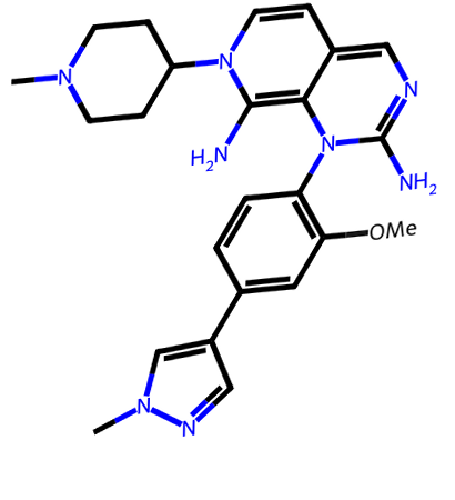 COc1cc(-c2cnn(C)c2)ccc1N1C(N)=NC=C2C=CN(C3CCN(C)CC3)C(N)=C21